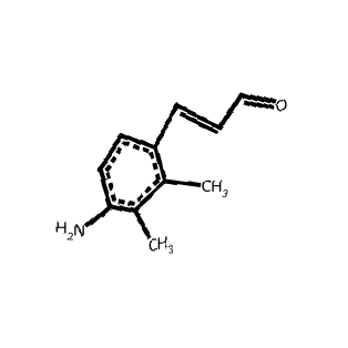 Cc1c(N)ccc(C=CC=O)c1C